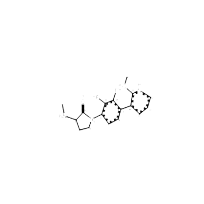 CNC1CCN(c2ccc(-c3cccnc3OC)c(F)c2F)C1=O